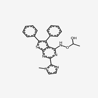 CC(O)ONc1nc(-c2nccn2C)nc2sc(-c3ccccc3)c(-c3ccccc3)c12